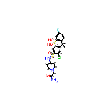 CC1(C)c2ccc(F)cc2S(O)(O)c2cc(S(=O)(=O)NC3CCN(CC(N)=O)CC3)c(Cl)cc21